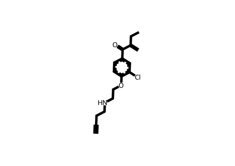 C#CCCNCCOc1ccc(C(=O)C(=C)CC)cc1Cl